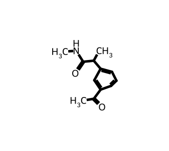 CNC(=O)C(C)c1cccc(C(C)=O)c1